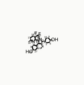 CCc1c(-c2ccc(O)cc2)nn(-c2nc(C)ccc2C(F)(F)F)c1-c1ccc(O)cc1